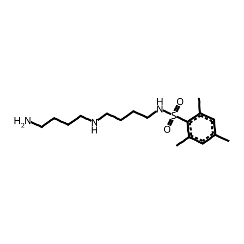 Cc1cc(C)c(S(=O)(=O)NCCCCNCCCCN)c(C)c1